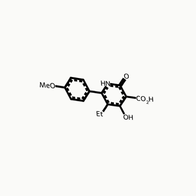 CCc1c(-c2ccc(OC)cc2)[nH]c(=O)c(C(=O)O)c1O